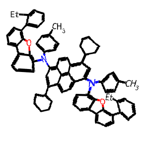 CCc1ccccc1-c1cccc2c1oc1c(N(c3ccc(C)cc3)c3cc(C4CCCCC4)c4ccc5c(N(c6ccc(C)cc6)c6cccc7c6oc6c(-c8ccccc8CC)cccc67)cc(C6CCCCC6)c6ccc3c4c65)cccc12